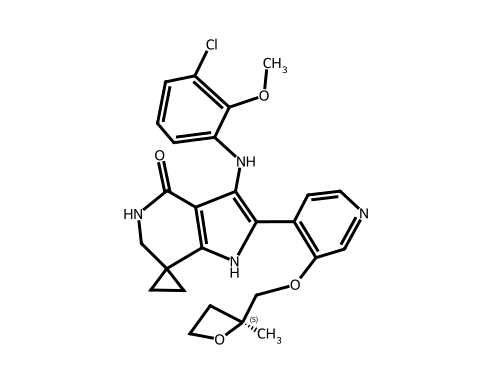 COc1c(Cl)cccc1Nc1c(-c2ccncc2OC[C@]2(C)CCO2)[nH]c2c1C(=O)NCC21CC1